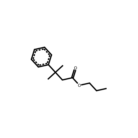 CCCOC(=O)CC(C)(C)c1ccccc1